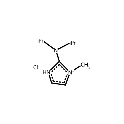 CC(C)N(c1[nH]cc[n+]1C)C(C)C.[Cl-]